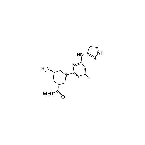 COC(=O)[C@@H]1C[C@@H](N)CN(c2nc(C)cc(Nc3cc[nH]n3)n2)C1